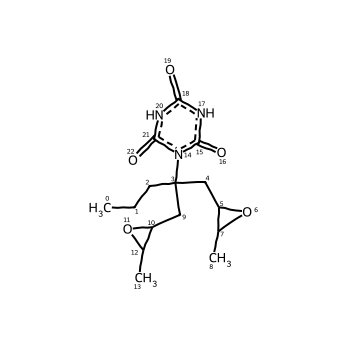 CCCC(CC1OC1C)(CC1OC1C)n1c(=O)[nH]c(=O)[nH]c1=O